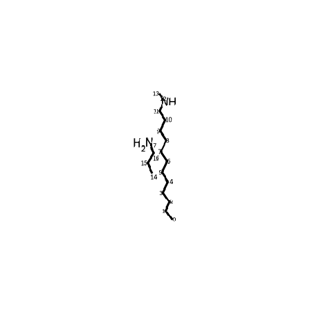 CCCCCCCCCCCCNC.CCCN